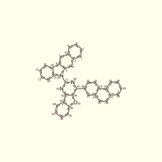 c1ccc2cc3c(cc2c1)c1ccccc1n3-c1nc(-c2ccc3c(ccc4ccccc43)c2)c2oc3ccccc3c2n1